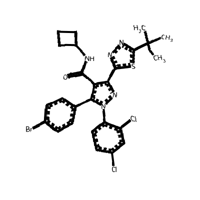 CC(C)(C)c1nnc(-c2nn(-c3ccc(Cl)cc3Cl)c(-c3ccc(Br)cc3)c2C(=O)NC2CCC2)s1